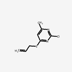 C=CCSc1cc(C)nc(Cl)n1